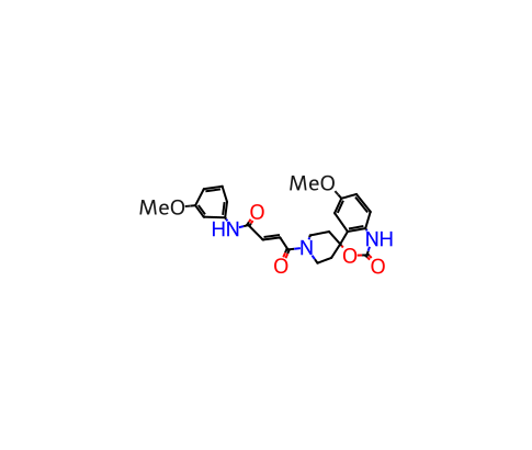 COc1cccc(NC(=O)C=CC(=O)N2CCC3(CC2)OC(=O)Nc2ccc(OC)cc23)c1